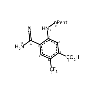 CCCCCNc1cc(C(=O)O)c(C(F)(F)F)cc1C(N)=O